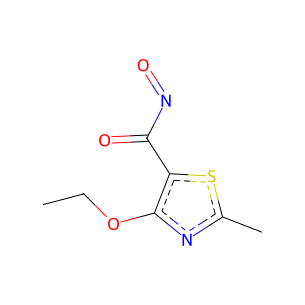 CCOc1nc(C)sc1C(=O)N=O